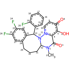 CN1C(=O)c2c(O)c(=O)ccn2N2C(c3ccccc3F)c3cc(F)c(F)cc3CCCC12